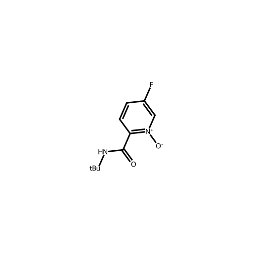 CC(C)(C)NC(=O)c1ccc(F)c[n+]1[O-]